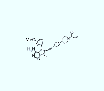 C=CC(=O)N1CCC(N2CC(C#Cc3c(-c4cccc(OC)n4)c4c(N)ncnc4n3C)C2)CC1